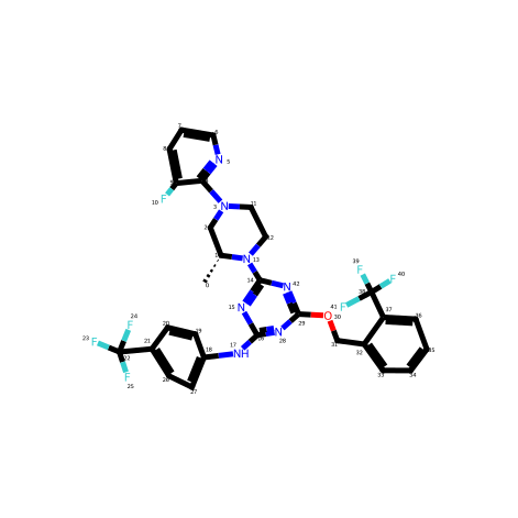 C[C@@H]1CN(c2ncccc2F)CCN1c1nc(Nc2ccc(C(F)(F)F)cc2)nc(OCc2ccccc2C(F)(F)F)n1